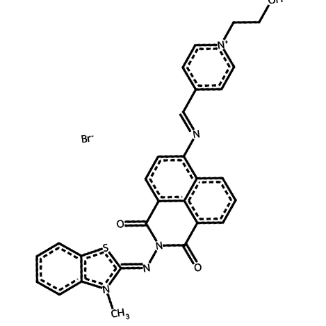 Cn1c(=NN2C(=O)c3cccc4c(N=Cc5cc[n+](CCO)cc5)ccc(c34)C2=O)sc2ccccc21.[Br-]